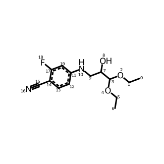 CCOC(OCC)C(O)CNc1ccc(C#N)c(F)c1